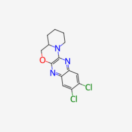 Clc1cc2nc3c(nc2cc1Cl)N1CCCCC1CO3